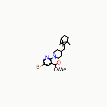 COC(=O)c1cc(Br)cnc1N1CCC(CC2CC3CCC2(C)C3(C)C)CC1